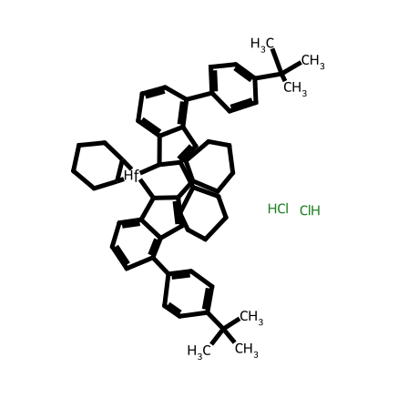 CC(C)(C)c1ccc(-c2cccc3c2C=C(C2CCCCC2)[CH]3[Hf]2([CH]3C(C4CCCCC4)=Cc4c(-c5ccc(C(C)(C)C)cc5)cccc43)[CH]3CCCC[CH]32)cc1.Cl.Cl